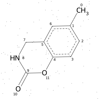 Cc1ccc2c(c1)CNC(=O)O2